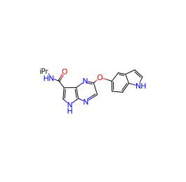 CC(C)NC(=O)c1c[nH]c2ncc(Oc3ccc4[nH]ccc4c3)nc12